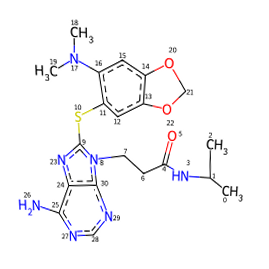 CC(C)NC(=O)CCn1c(Sc2cc3c(cc2N(C)C)OCO3)nc2c(N)ncnc21